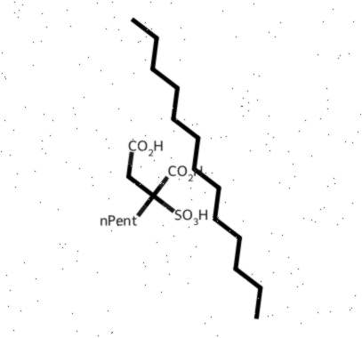 CCCCCC(CC(=O)O)(C(=O)O)S(=O)(=O)O.CCCCCCCCCCCCC